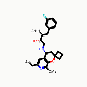 COc1nc(CC(C)(C)C)cc2c1OC1(CCC1)C[C@@H]2NC[C@H](O)[C@H](Cc1cccc(F)c1)NC(C)=O